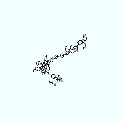 Cc1ncsc1-c1ccc(CCNC(=O)[C@@H]2C[C@@H](O)CN2C(=O)[C@@H](NC(=O)COCCOCCOCCOCCOc2ncc(-c3ccc4c(c3)[nH]c3ccncc34)cc2C(F)(F)F)C(C)(C)C)cc1